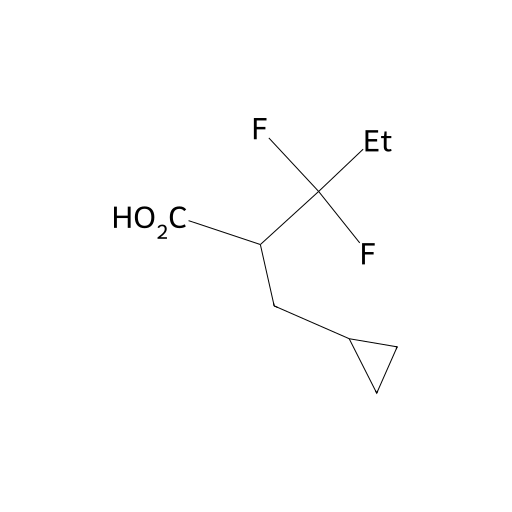 CCC(F)(F)C(CC1CC1)C(=O)O